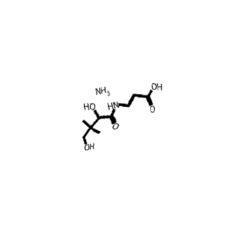 CC(C)(CO)C(O)C(=O)NCCC(=O)O.N